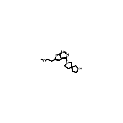 COCCc1cc2c(N3CCC4(CCNC4)C3)ncnc2s1